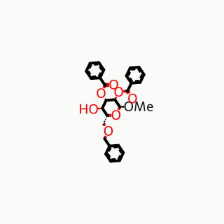 CO[C@H]1O[C@H](COCc2ccccc2)[C@@H](O)[C@H](OC(=O)c2ccccc2)[C@H]1OC(=O)c1ccccc1